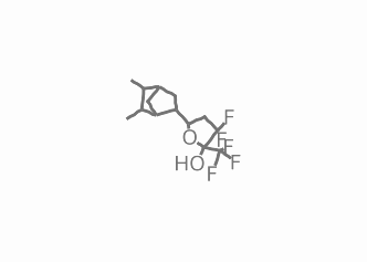 CC1C2CC(C3CC(F)(F)C(O)(C(F)(F)F)O3)C(C2)C1C